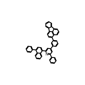 c1ccc(-c2cc(-c3cccc(-c4ccc5c6c(cccc46)-c4ccccc4-5)c3)cc(-c3ccc(-c4ccccc4)c4ccccc34)n2)cc1